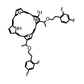 [2H]c1c(C(C)OCCc2ccc(F)cc2F)c2cc3nc(cc4ccc(cc5nc(cc1[nH]2)C=C5)[nH]4)C(C(C)OCCc1ccc(F)cc1F)=C3